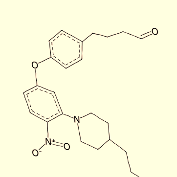 CCCC1CCN(c2cc(Oc3ccc(CCCC=O)cc3)ccc2[N+](=O)[O-])CC1